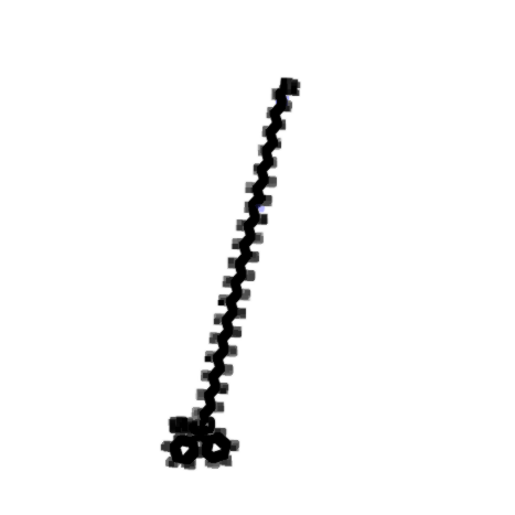 CC/C=C/CCCCCCCCC/C=C/CCCCCCCCCCCCCCCCCCCCCCO[Si](c1ccccc1)(c1ccccc1)C(C)(C)C